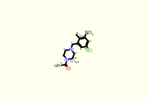 CCCC(=O)N1CCN(Cc2cc(Cl)cc([N+](=O)[O-])c2C)C[C@@H]1C